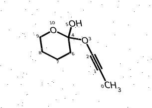 CC#COC1(O)CCCCO1